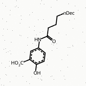 CCCCCCCCCCCCCC(=O)Nc1ccc(O)c(C(=O)O)c1